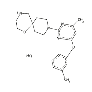 Cc1cccc(Oc2cc(C)nc(N3CCC4(CC3)CNCCO4)n2)c1.Cl